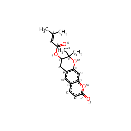 CC(C)=CC(=O)OC1Cc2cc3ccc(=O)oc3cc2OC1(C)C